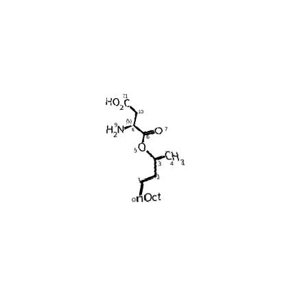 CCCCCCCCCCC(C)OC(=O)[C@@H](N)CC(=O)O